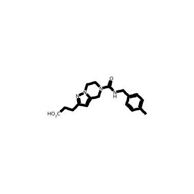 Cc1ccc(CNC(=O)N2CCn3nc(CCC(=O)O)cc3C2)cc1